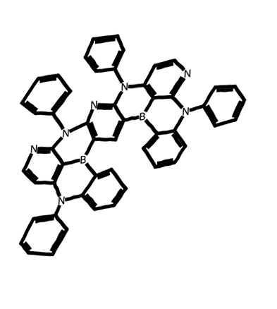 c1ccc(N2c3ccccc3B3c4cc5c(nc4N(c4ccccc4)c4nccc2c43)N(c2ccccc2)c2ccnc3c2B5c2ccccc2N3c2ccccc2)cc1